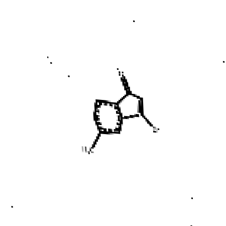 Cc1ccc2c(c1)C(Br)=CC2=O